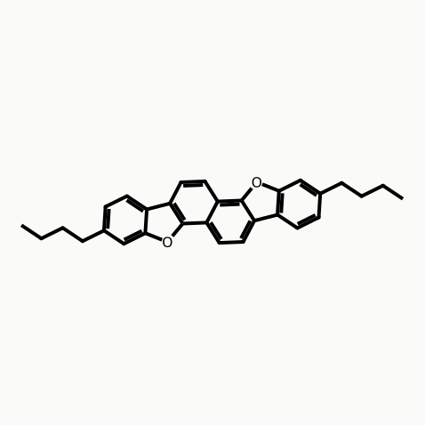 CCCCc1ccc2c(c1)oc1c2ccc2c1ccc1c3ccc(CCCC)cc3oc12